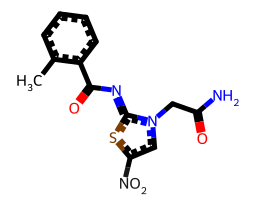 Cc1ccccc1C(=O)/N=c1\sc([N+](=O)[O-])cn1CC(N)=O